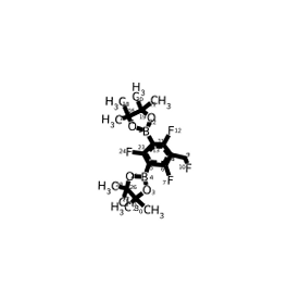 CC1(C)OB(c2c(F)c(CF)c(F)c(B3OC(C)(C)C(C)(C)O3)c2F)OC1(C)C